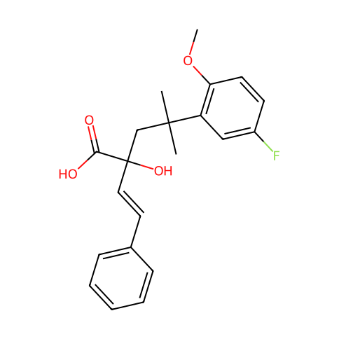 COc1ccc(F)cc1C(C)(C)CC(O)(C=Cc1ccccc1)C(=O)O